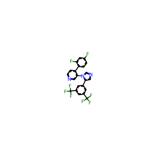 Fc1ccc(-c2ccncc2-n2cncc2-c2cc(C(F)(F)F)cc(C(F)(F)F)c2)c(F)c1